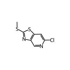 CSc1nc2cnc(Cl)cc2s1